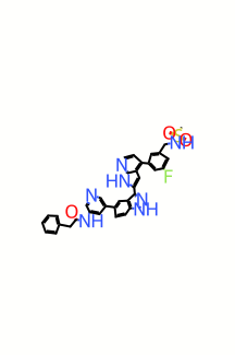 CS(=O)(=O)NCc1cc(F)cc(-c2ccnc3[nH]c(-c4n[nH]c5ccc(-c6cncc(NC(=O)Cc7ccccc7)c6)cc45)cc23)c1